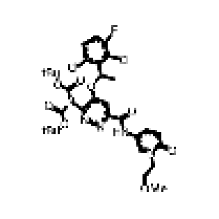 COCCn1cc(NC(=O)c2cc(OC(C)c3c(Cl)ccc(F)c3Cl)c(N(C(=O)OC(C)(C)C)C(=O)OC(C)(C)C)nn2)ccc1=O